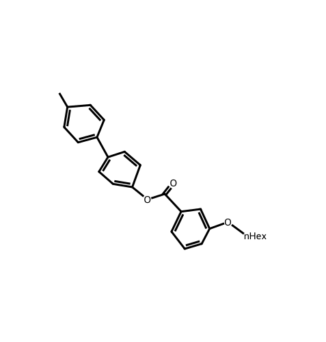 CCCCCCOc1cccc(C(=O)Oc2ccc(-c3ccc(C)cc3)cc2)c1